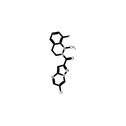 CN1c2c(F)cccc2CCN1C(=O)c1cc2ncc(Cl)cn2n1